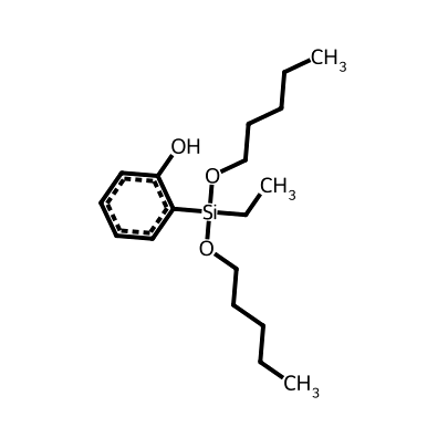 CCCCCO[Si](CC)(OCCCCC)c1ccccc1O